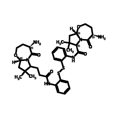 CC1(C)C[C@@H]2OCC[C@H](N)C(=O)N2C1CCC(=O)Nc1ccccc1SSc1ccccc1NC(=O)[C@@H]1N2C(=O)[C@@H](N)CCO[C@H]2CC1(C)C